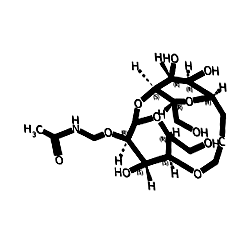 CC(=O)NCO[C@H]1C2O[C@H]3[C@H](O)[C@@H](O)[C@@H](CCCO[C@@H]([C@@H]1O)[C@@H](CO)O2)O[C@@H]3CO